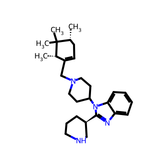 C[C@@H]1CC=C(CN2CCC(n3c([C@@H]4CCCNC4)nc4ccccc43)CC2)[C@H](C)C1(C)C